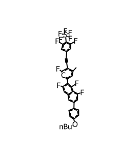 CCCCOc1ccc(-c2cc(F)c3c(F)c(-c4cc(C)c(C#Cc5cc(F)c(S(F)(F)(F)(F)F)c(F)c5)c(F)c4)c(F)cc3c2)cc1